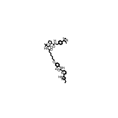 CCc1cc(-c2cccc(C(=O)Nc3ccc(OCCCCCCC(=O)N[C@H](C(=O)N4CCC[C@H]4C(=O)NCc4ccc(-c5scnc5C)cc4)C(C)(C)C)cc3OC)n2)[nH]n1